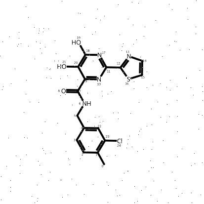 Cc1ccc(CNC(=O)c2nc(-c3nccs3)nc(O)c2O)cc1Cl